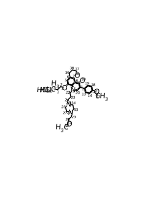 CCCOc1cc2c(c3c(=O)c(-c4ccc(OC)cc4)cn(CCCN4CCN(CCOC)CC4)c13)OCCC2.Cl.Cl